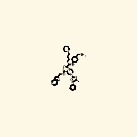 C[C@@H]1N=C(N2CCN(C(=O)[C@@H](CCCCN3CCCCC3)NC3CCC(CN)CC3)[C@H](C(=O)NCc3cc4cnccc4s3)C2)O[C@H]1c1ccccc1